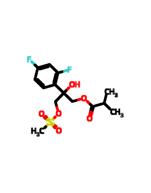 CC(C)C(=O)OCC(O)(COS(C)(=O)=O)c1ccc(F)cc1F